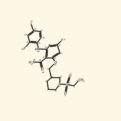 CCS(=O)(=O)N1CCCC(COc2cc(F)cc(Nc3ccc(I)cc3F)c2C(N)=O)C1